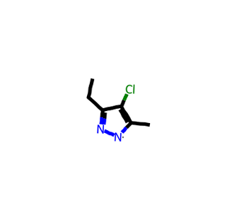 CCC1=N[N]C(C)=C1Cl